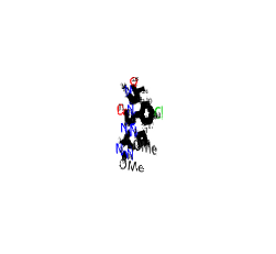 COc1ncc(-c2nc3c(n2C2CCC2)C(c2ccc(Cl)cc2)N(c2cc(C)c(=O)n(C)c2)C3=O)c(OC)n1